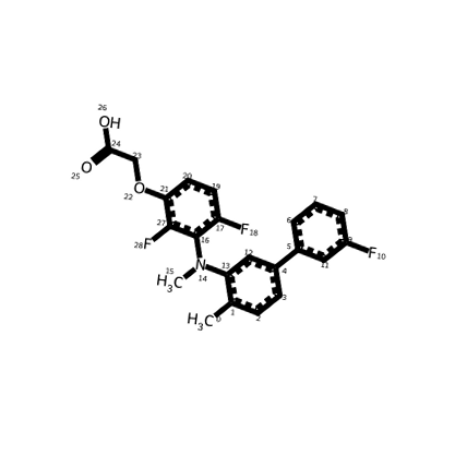 Cc1ccc(-c2cccc(F)c2)cc1N(C)c1c(F)ccc(OCC(=O)O)c1F